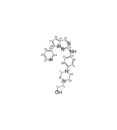 OCCN1CCN(c2ccc(Nc3ncc4ccc(-c5cccnc5)n4n3)cc2)CC1